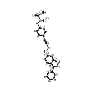 CO[C@@H](Cc1ccc(C#CCOc2ccc3c(-c4ccccc4)coc3c2)cc1)C(=O)O